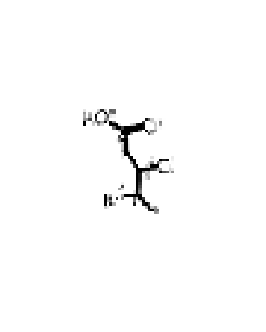 CC(Br)C(Cl)CC(=O)O